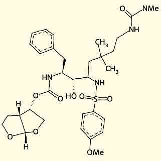 CNC(=O)NCCC(C)(C)CC(NS(=O)(=O)c1ccc(OC)cc1)[C@H](O)[C@H](Cc1ccccc1)NC(=O)O[C@@H]1CO[C@@H]2OCC[C@@H]21